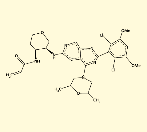 C=CC(=O)N[C@H]1CCOC[C@H]1Nc1cc2c(N3CC(C)OC(C)C3)nc(-c3c(Cl)c(OC)cc(OC)c3Cl)nc2cn1